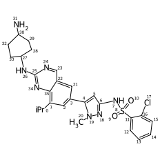 CC(C)c1cc(-c2cc(NS(=O)(=O)c3ccccc3Cl)nn2C)cc2cnc(NC3CCC(N)CC3)nc12